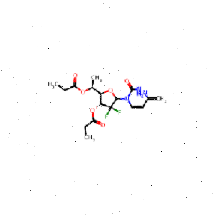 C=C(N)/C=C\N(C(N)=O)[C@@H]1O[C@H]([C@H](C)OC(=O)CC)[C@@H](OC(=O)CC)C1(F)F